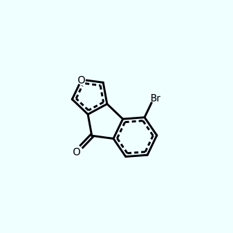 O=C1c2cocc2-c2c(Br)cccc21